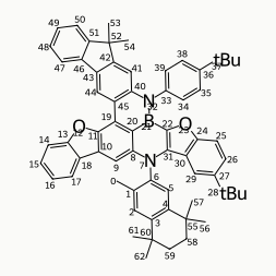 Cc1cc2c(cc1N1c3cc4c(oc5ccccc54)c4c3B(c3oc5ccc(C(C)(C)C)cc5c31)N(c1ccc(C(C)(C)C)cc1)c1cc3c(cc1-4)-c1ccccc1C3(C)C)C(C)(C)CCC2(C)C